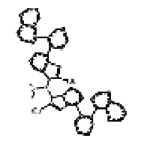 C[SiH](C)[Zr]([CH]1C(C(C)(C)C)=Cc2c(-c3ccccc3-c3cccc4ccccc34)cccc21)[CH]1C(C(C)(C)C)=Cc2c(-c3ccccc3-c3cccc4ccccc34)cccc21